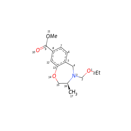 CCOCN1Cc2ccc(C(=O)OC)cc2OC[C@@H]1C